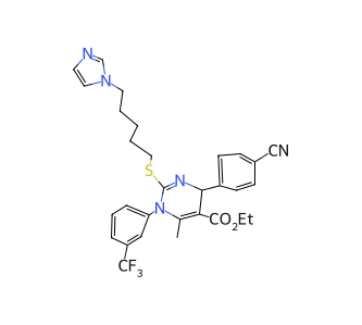 CCOC(=O)C1=C(C)N(c2cccc(C(F)(F)F)c2)C(SCCCCCn2ccnc2)=NC1c1ccc(C#N)cc1